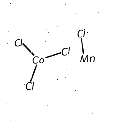 [Cl][Co]([Cl])[Cl].[Cl][Mn]